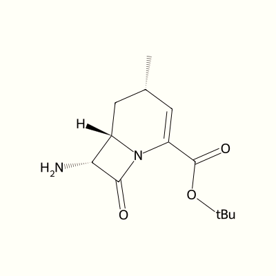 C[C@@H]1C=C(C(=O)OC(C)(C)C)N2C(=O)[C@H](N)[C@@H]2C1